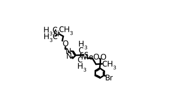 COC(=O)C(C)(CCCSC(C)(C)c1cnn(COCC[Si](C)(C)C)c1)c1cccc(Br)c1